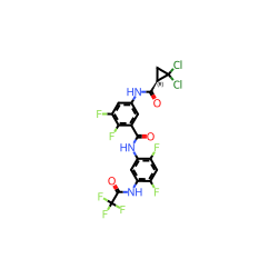 O=C(Nc1cc(NC(=O)C(F)(F)F)c(F)cc1F)c1cc(NC(=O)[C@H]2CC2(Cl)Cl)cc(F)c1F